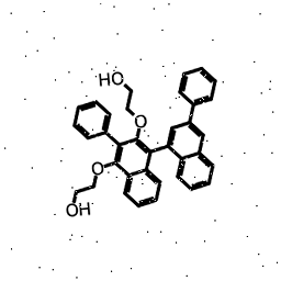 OCCOc1c(-c2ccccc2)c(OCCO)c2ccccc2c1-c1cc(-c2ccccc2)cc2ccccc12